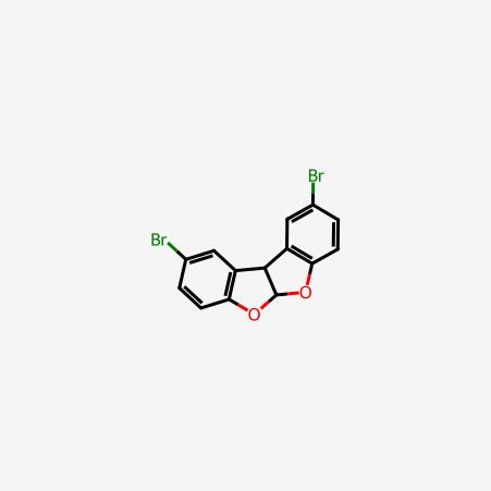 Brc1ccc2c(c1)C1c3cc(Br)ccc3OC1O2